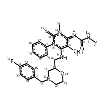 CC(C)NC(=O)N=c1c(C#N)c(NCC2CN(Cc3ccc(F)cc3)CCO2)n(-c2ccccc2)c(=S)n1C